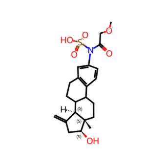 C=C1C[C@H](O)[C@@]2(C)CCC3c4ccc(N(C(=O)COC)S(=O)(=O)O)cc4CCC3[C@H]12